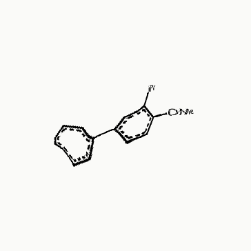 COc1ccc(-c2ccccc2)cc1C(C)C